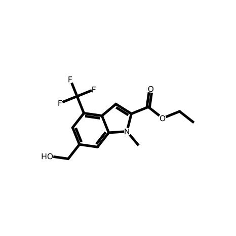 CCOC(=O)c1cc2c(C(F)(F)F)cc(CO)cc2n1C